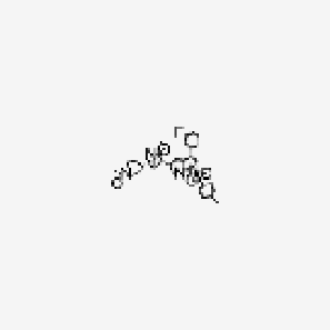 COc1nn(C2CCN(C(C)=O)CC2)cc1-c1cnc2c(c1)c(-c1cccc(F)c1)cn2S(=O)(=O)c1ccc(C)cc1